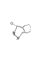 ClC1=C2CCCC2=N[N]1